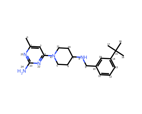 Cc1cc(N2CCC(NCc3cccc(C(C)(C)C)c3)CC2)nc(N)n1